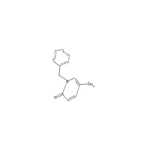 Cc1ccc(=O)n(Cc2ccccc2)c1